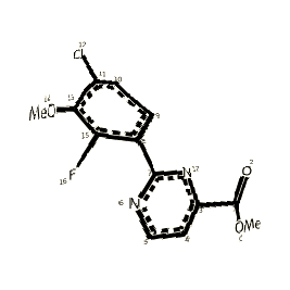 COC(=O)c1ccnc(-c2ccc(Cl)c(OC)c2F)n1